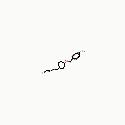 CCCCc1ccc(COC2CCC(CCC=CC#N)CC2)cc1